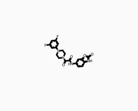 O=C(Nc1ccc2[nH]c(=O)oc2c1)C(=O)N1CCN(c2cc(F)cc(F)c2)CC1